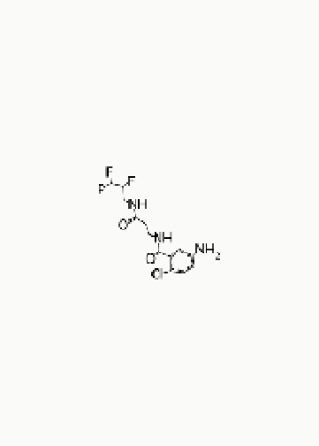 Nc1ccc(Cl)c(C(=O)NCCC(=O)NCC(F)C(F)F)c1